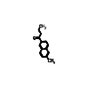 CCCC(=O)c1ccc2cc(C)ccc2c1